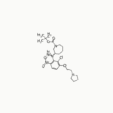 CC(C)(C)OC(=O)N1CCCC[C@@H](N(N)c2c([N+](=O)[O-])ccc(OCCN3CCCC3)c2Cl)C1